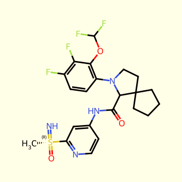 C[S@@](=N)(=O)c1cc(NC(=O)C2N(c3ccc(F)c(F)c3OC(F)F)CCC23CCCC3)ccn1